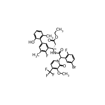 CCOC(=O)C[C@H](NC(=O)C(c1cc(Br)ccc1F)n1ccc(C(F)(F)F)c(OC)c1=O)c1cc(-c2c(C)cccc2O)cc(C)c1F